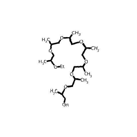 CCOC(C)COC(C)COC(C)COC(C)COC(C)COC(C)COC(C)CO